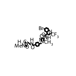 CNC(=O)N(C)CCNC(=O)c1ccc(Cn2nc(C)c(NC(=O)c3cc(C(F)(F)F)nc4ccc(Br)cc34)c2C)cc1